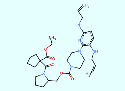 C=CCNc1ccc(NCC=C)c(N2CCN(C(=O)OCC3CCCN3C(=O)C3(C(=O)OCC)CCCC3)CC2)n1